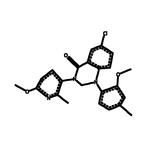 COc1ccc(N2CN(c3ccc(C)cc3OC)c3ccc(Cl)cc3C2=O)c(C)n1